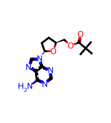 CC(C)(C)C(=O)OC[C@@H]1CC[C@@H](n2cnc3c(N)ncnc32)O1